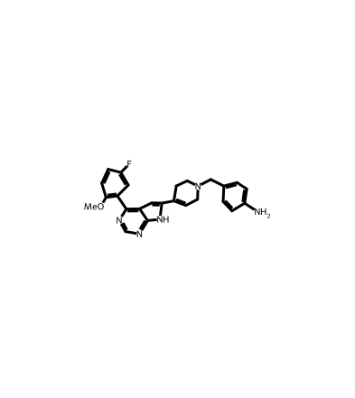 COc1ccc(F)cc1-c1ncnc2[nH]c(C3=CCN(Cc4ccc(N)cc4)CC3)cc12